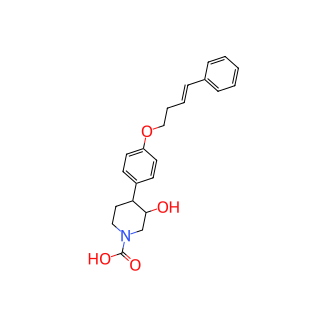 O=C(O)N1CCC(c2ccc(OCCC=Cc3ccccc3)cc2)C(O)C1